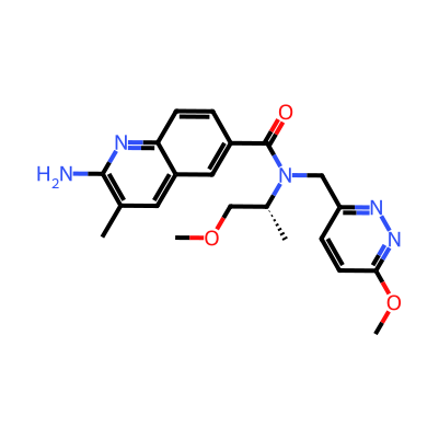 COC[C@@H](C)N(Cc1ccc(OC)nn1)C(=O)c1ccc2nc(N)c(C)cc2c1